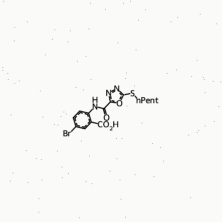 CCCCCSc1nnc(C(=O)Nc2ccc(Br)cc2C(=O)O)o1